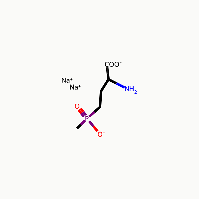 CP(=O)([O-])CCC(N)C(=O)[O-].[Na+].[Na+]